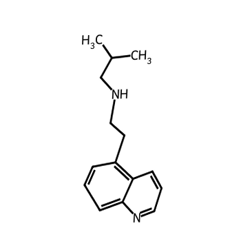 CC(C)CNCCc1cccc2ncccc12